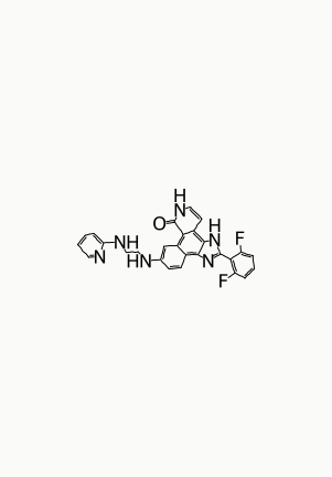 O=c1[nH]ccc2c3[nH]c(-c4c(F)cccc4F)nc3c3ccc(NCCNc4ccccn4)cc3c12